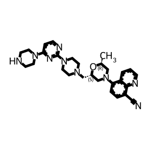 C[C@@H]1CN(c2ccc(C#N)c3ncccc23)C[C@H](CN2CCN(c3nccc(N4CCNCC4)n3)CC2)O1